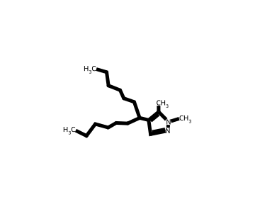 CCCCCCC(CCCCCC)c1cnn(C)c1C